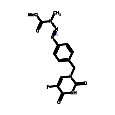 COC(=O)N(C)/N=N/c1ccc(Cn2cc(F)c(=O)[nH]c2=O)cc1